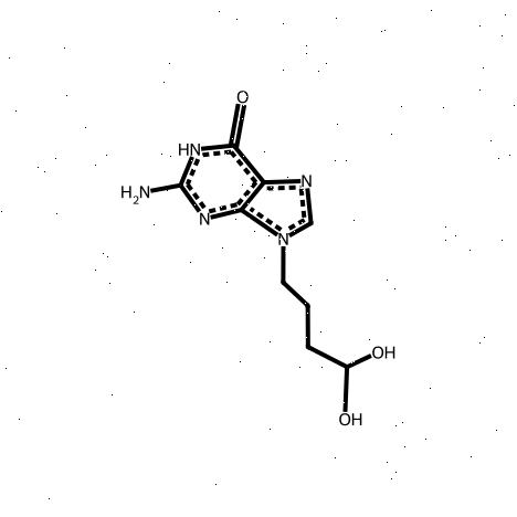 Nc1nc2c(ncn2CCCC(O)O)c(=O)[nH]1